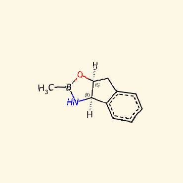 CB1N[C@@H]2c3ccccc3C[C@@H]2O1